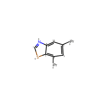 CC(C)c1cc(C(C)C)c2scnc2c1